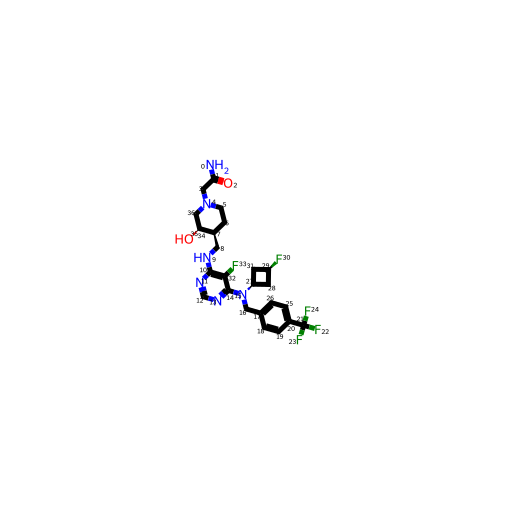 NC(=O)CN1CC[C@@H](CNc2ncnc(N(Cc3ccc(C(F)(F)F)cc3)[C@H]3C[C@H](F)C3)c2F)[C@H](O)C1